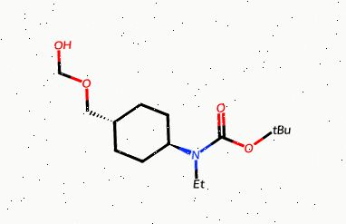 CCN(C(=O)OC(C)(C)C)[C@H]1CC[C@H](COCO)CC1